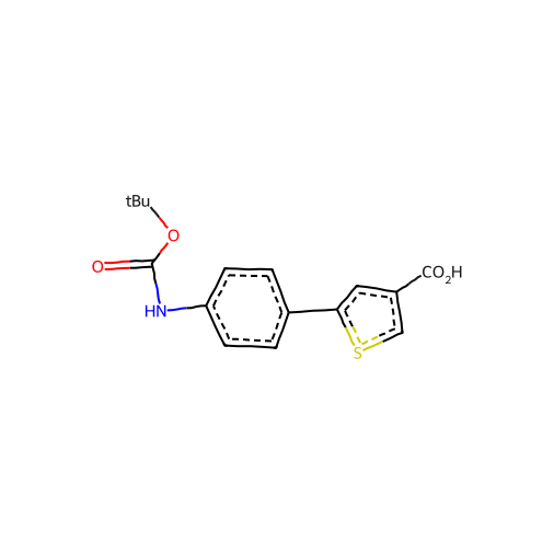 CC(C)(C)OC(=O)Nc1ccc(-c2cc(C(=O)O)cs2)cc1